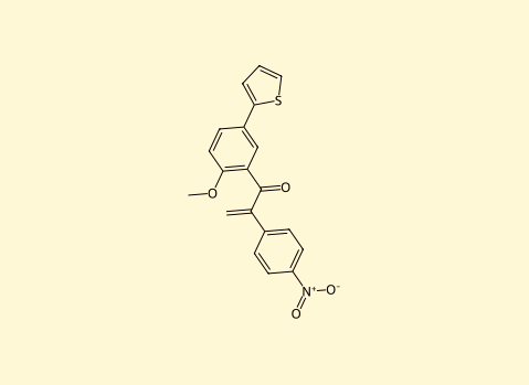 C=C(C(=O)c1cc(-c2cccs2)ccc1OC)c1ccc([N+](=O)[O-])cc1